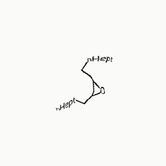 CCCCCC[CH]CC1OC1CCCCCCCC